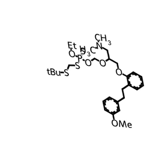 CCOP(=S)(OCOC(COc1ccccc1CCc1cccc(OC)c1)CN(C)C)SCSC(C)(C)C